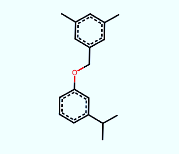 Cc1cc(C)cc(COc2cccc(C(C)C)c2)c1